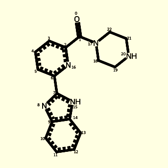 O=C(c1cccc(-c2nc3ccccc3[nH]2)n1)N1CCNCC1